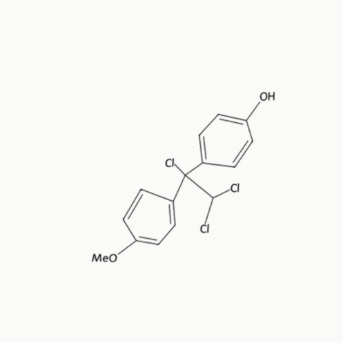 COc1ccc(C(Cl)(c2ccc(O)cc2)C(Cl)Cl)cc1